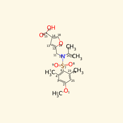 COc1cc(C)c(S(=O)(=O)N(Cc2cc(C(=O)O)co2)C(C)C)c(C)c1